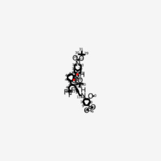 COc1cc(S(C)(=O)=O)ccc1NCC#Cc1sc2c(NC3C4CN(C(=O)OC(C)(C)C)CC3CN(C(=O)OC(C)(C)C)C4)cccc2c1CC(F)(F)F